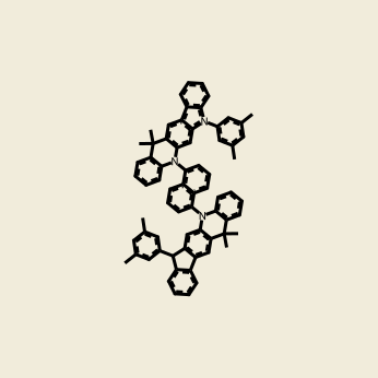 Cc1cc(C)cc(C2c3ccccc3-c3cc4c(cc32)N(c2cccc3c(N5c6ccccc6C(C)(C)c6cc7c8ccccc8n(-c8cc(C)cc(C)c8)c7cc65)cccc23)c2ccccc2C4(C)C)c1